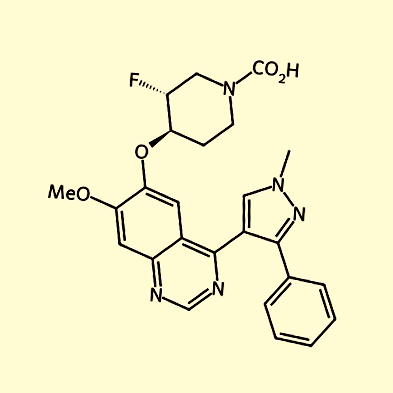 COc1cc2ncnc(-c3cn(C)nc3-c3ccccc3)c2cc1O[C@@H]1CCN(C(=O)O)C[C@H]1F